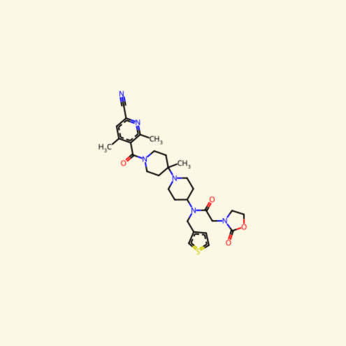 Cc1cc(C#N)nc(C)c1C(=O)N1CCC(C)(N2CCC(N(Cc3ccsc3)C(=O)CN3CCOC3=O)CC2)CC1